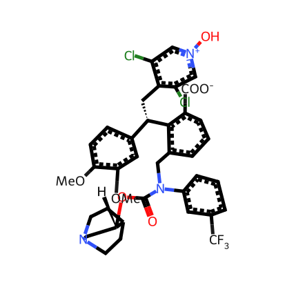 COc1ccc([C@H](Cc2c(Cl)c[n+](O)cc2Cl)c2c(CN(C(=O)O[C@H]3CN4CCC3CC4)c3cccc(C(F)(F)F)c3)cccc2C(=O)[O-])cc1OC